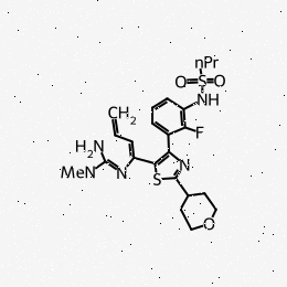 C=C/C=C(\N=C(/N)NC)c1sc(C2CCOCC2)nc1-c1cccc(NS(=O)(=O)CCC)c1F